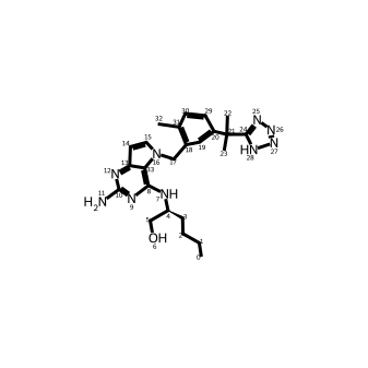 CCCC[C@@H](CO)Nc1nc(N)nc2ccn(Cc3cc(C(C)(C)c4nnn[nH]4)ccc3C)c12